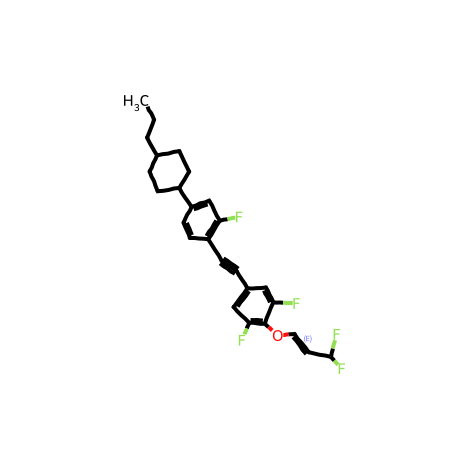 CCCC1CCC(c2ccc(C#Cc3cc(F)c(O/C=C/C(F)F)c(F)c3)c(F)c2)CC1